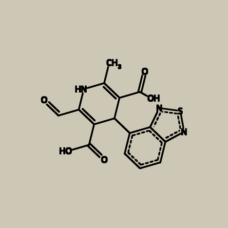 CC1=C(C(=O)O)C(c2cccc3nsnc23)C(C(=O)O)=C(C=O)N1